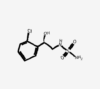 NS(=O)(=O)NC[C@H](O)c1ccccc1Cl